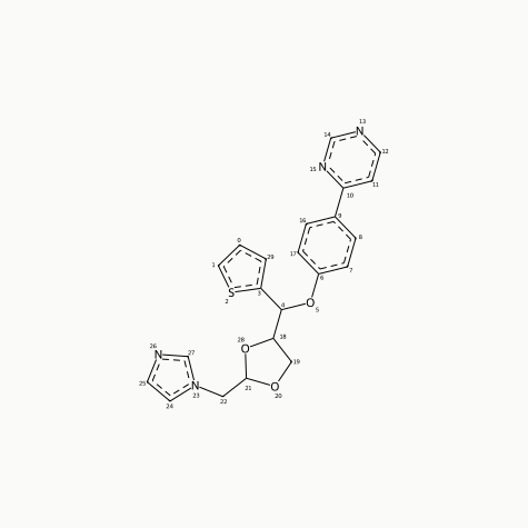 c1csc(C(Oc2ccc(-c3ccncn3)cc2)C2COC(Cn3ccnc3)O2)c1